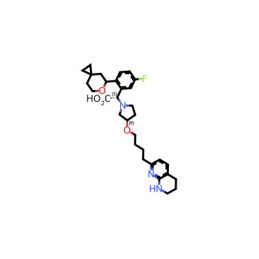 O=C(O)[C@H](c1cc(F)ccc1C1CC2(CCO1)CC2)N1CC[C@@H](OCCCCc2ccc3c(n2)NCCC3)C1